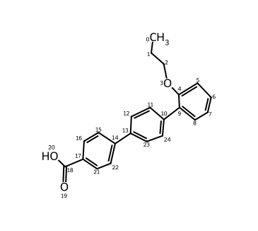 CCCOc1ccccc1-c1ccc(-c2ccc(C(=O)O)cc2)cc1